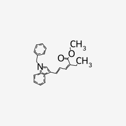 CCOC(=O)C(=CC=Cc1cn(Cc2ccccc2)c2ccccc12)CC